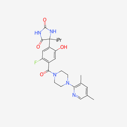 Cc1cnc(N2CCN(C(=O)c3cc(O)c(C4(C(C)C)NC(=O)NC4=O)cc3F)CC2)c(C)c1